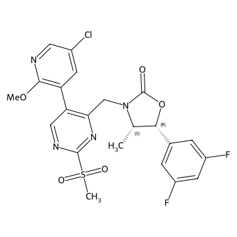 COc1ncc(Cl)cc1-c1cnc(S(C)(=O)=O)nc1CN1C(=O)O[C@H](c2cc(F)cc(F)c2)[C@@H]1C